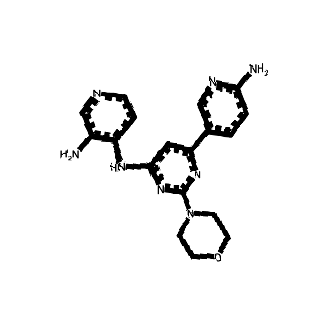 Nc1ccc(-c2cc(Nc3ccncc3N)nc(N3CCOCC3)n2)cn1